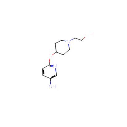 Nc1ccc(OC2CCN(CCO)CC2)nc1